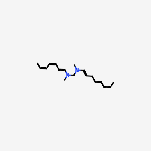 C/C=C\C=CC/C=C/N(C)CN(C)/C=C/C=C\C=C/C